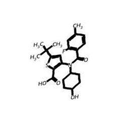 Cc1ccc(C(=O)N(c2cc(C(C)(C)C)sc2C(=O)O)C2CCC(O)CC2)c(F)c1